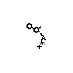 CN(CCOc1ccc(-c2ccccc2)cc1I)CC(=O)OC(C)(C)C